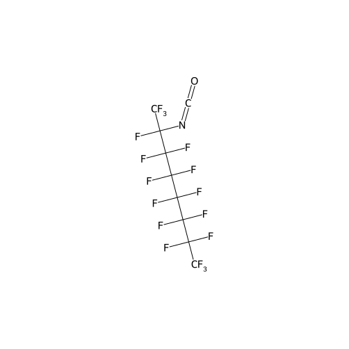 O=C=NC(F)(C(F)(F)F)C(F)(F)C(F)(F)C(F)(F)C(F)(F)C(F)(F)C(F)(F)F